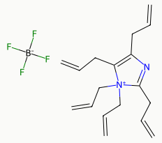 C=CCC1=NC(CC=C)=C(CC=C)[N+]1(CC=C)CC=C.F[B-](F)(F)F